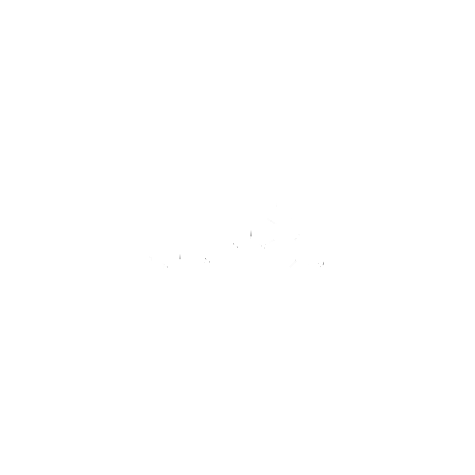 COC(=O)c1csc2c(C(F)(F)F)cc(N3CCN(CC(=O)NC(C)C)CC3)nc12